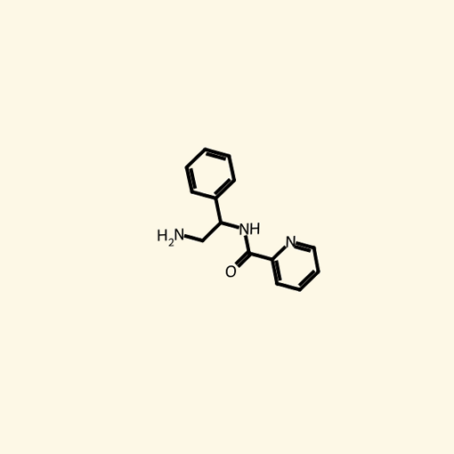 NCC(NC(=O)c1ccccn1)c1ccccc1